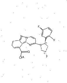 O=C(O)c1cccc2nn3ccc(N4C[C@@H](F)C[C@@H]4c4cc(F)ccc4F)nc3c12